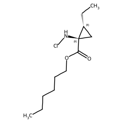 CCCCCCOC(=O)[C@@]1(NCl)C[C@H]1CC